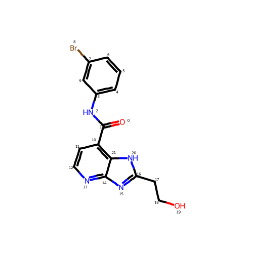 O=C(Nc1cccc(Br)c1)c1ccnc2nc(CCO)[nH]c12